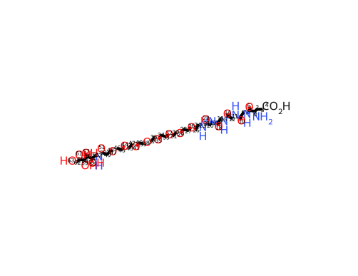 NC(CCC(=O)O)C(=O)NCC(=O)NCC(=O)NCC(=O)NCC(=O)NCCOCCOCCOCCOCCOCCOCCOCCOCCC(=O)NCC(O)C(O)C(O)C(O)CO